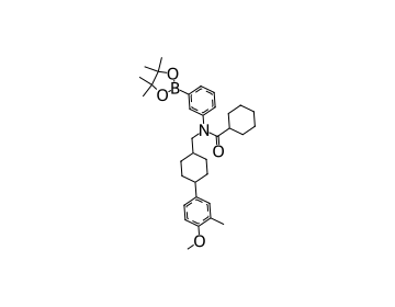 COc1ccc(C2CCC(CN(C(=O)C3CCCCC3)c3cccc(B4OC(C)(C)C(C)(C)O4)c3)CC2)cc1C